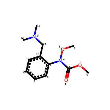 COC(=O)N(OC)c1ccccc1CN(C)C